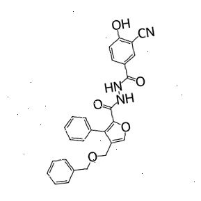 N#Cc1cc(C(=O)NNC(=O)c2occ(COCc3ccccc3)c2-c2ccccc2)ccc1O